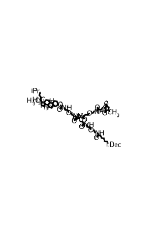 CCCCCCCCCCCCCCCC(=O)NCCOCCNC(=O)CC[C@H](NC(=O)CCOCCNC(=O)CCN1C(=O)CC(C)C1=O)C(=O)NCCOCCNC(=O)O[C@H]1CC[C@@]2(C)C(=CC[C@H]3[C@@H]4CC[C@H]([C@H](C)CCCC(C)C)[C@@]4(C)CC[C@@H]32)C1